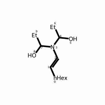 CCCCCCC=CN(C(O)CC)C(O)CC